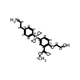 COC(=O)c1cc(S(=O)(=O)c2ccc(CCN)cc2)ccc1OCCO